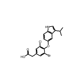 CC(C)c1c[nH]c2ccc(Oc3c(Cl)cc(CC(=O)O)cc3Br)cc12